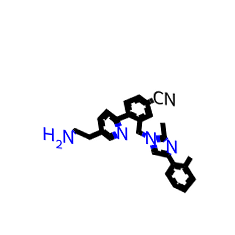 Cc1ccccc1-c1cn(Cc2cc(C#N)ccc2-c2ccc(CCN)cn2)c(C)n1